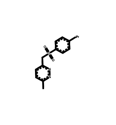 Cc1ccc(CS(=O)(=O)c2ccc(C(C)C)cc2)nn1